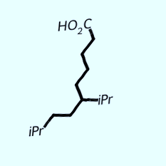 CC(C)CCC(CCCCC(=O)O)C(C)C